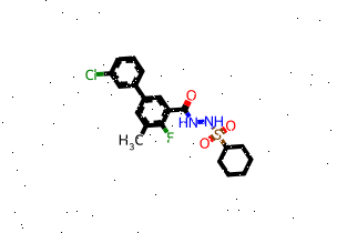 Cc1cc(-c2cccc(Cl)c2)cc(C(=O)NNS(=O)(=O)C2CCCCC2)c1F